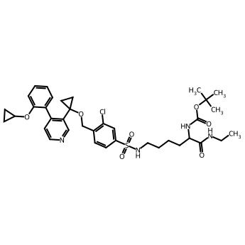 CCNC(=O)C(CCCCNS(=O)(=O)c1ccc(COC2(c3cnccc3-c3ccccc3OC3CC3)CC2)c(Cl)c1)NC(=O)OC(C)(C)C